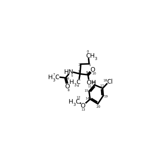 CCCC(C)(NC(C)=O)C(=O)O.COc1ccc(Cl)cc1